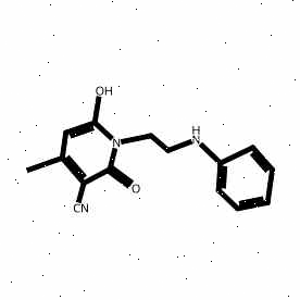 Cc1cc(O)n(CCNc2ccccc2)c(=O)c1C#N